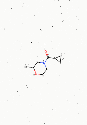 CCC1CN(C(=O)C2CC2)CCO1